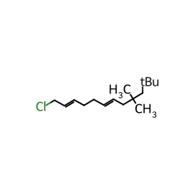 CC(C)(C)CC(C)(C)CC=CCCC=CCCl